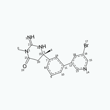 CN1C(=N)N[C@](C)(c2cccc(-c3cncc(Br)c3)c2)CC1=O